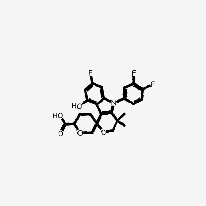 CC1(C)COC2(CCC(C(=O)O)OC2)c2c1n(-c1ccc(F)c(F)c1)c1cc(F)cc(O)c21